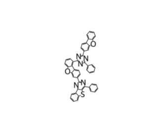 c1ccc(-c2nc(-c3ccc4c(c3)oc3ccccc34)nc(-c3cccc4oc5cc(-c6nc(-c7ccccc7)c7sc8ccccc8c7n6)ccc5c34)n2)cc1